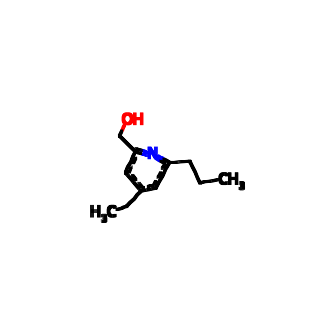 CCCc1cc(CC)cc(CO)n1